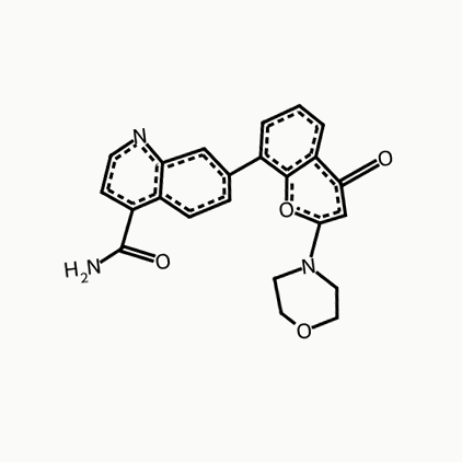 NC(=O)c1ccnc2cc(-c3cccc4c(=O)cc(N5CCOCC5)oc34)ccc12